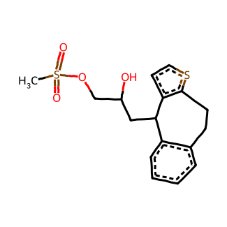 CS(=O)(=O)OCC(O)CC1c2ccccc2CCc2sccc21